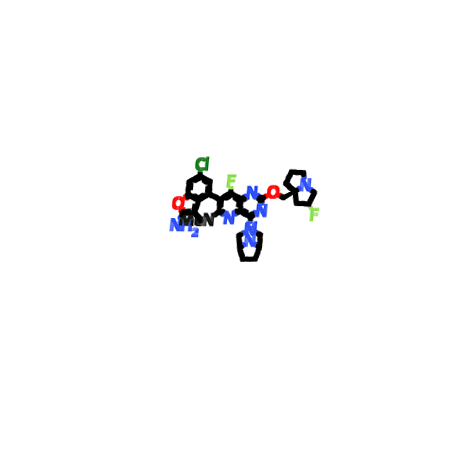 CNc1nc2c(N3CC4CCC(C3)N4)nc(OC[C@@]34CCCN3C[C@H](F)C4)nc2c(F)c1-c1cc(Cl)cc2oc(N)c(C)c12